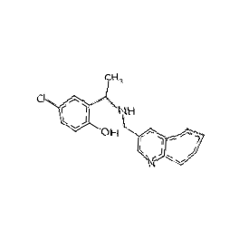 CC(NCc1cnc2ccccc2c1)c1cc(Cl)ccc1O